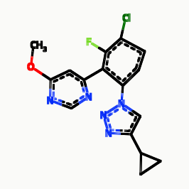 COc1cc(-c2c(-n3cc(C4CC4)nn3)ccc(Cl)c2F)ncn1